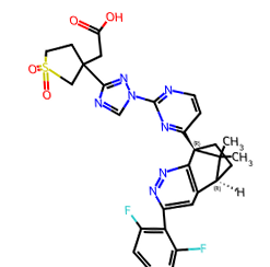 CC1(C)[C@H]2CC[C@@]1(c1ccnc(-n3cnc(C4(CC(=O)O)CCS(=O)(=O)C4)n3)n1)c1nnc(-c3c(F)cccc3F)cc12